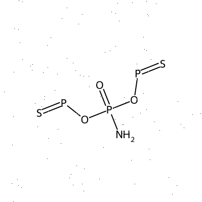 NP(=O)(OP=S)OP=S